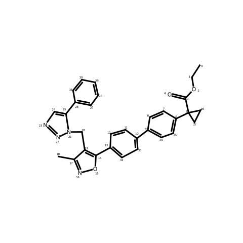 CCOC(=O)C1(c2ccc(-c3ccc(-c4onc(C)c4Cn4nncc4-c4ccccc4)cc3)cc2)CC1